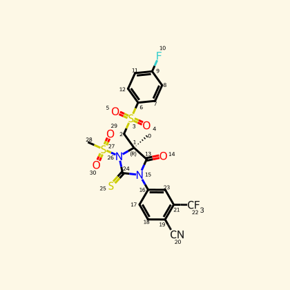 C[C@]1(CS(=O)(=O)c2ccc(F)cc2)C(=O)N(c2ccc(C#N)c(C(F)(F)F)c2)C(=S)N1S(C)(=O)=O